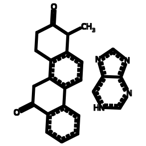 CC1C(=O)CCc2c1ccc1c2CC(=O)c2ccccc2-1.c1nc2c[nH]cnc-2n1